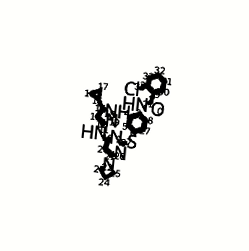 O=C(Nc1ccc(Sc2nc(Nc3cc(C4CC4)[nH]n3)cc(N3CCC3)n2)cc1)c1ccccc1Cl